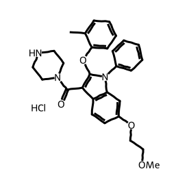 COCCOc1ccc2c(C(=O)N3CCNCC3)c(Oc3ccccc3C)n(-c3ccccc3)c2c1.Cl